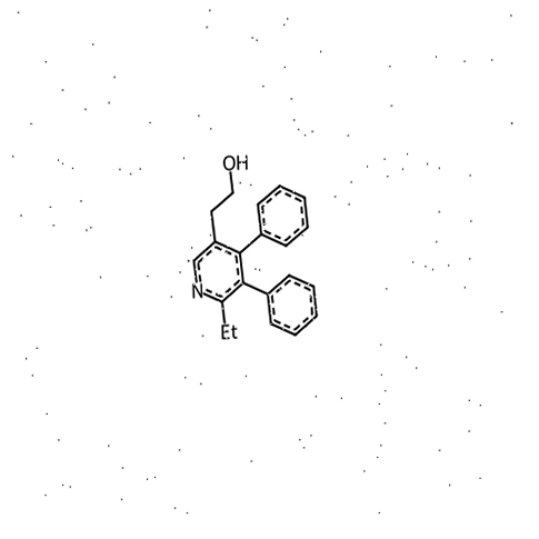 CCc1n[c]c(CCO)c(-c2ccccc2)c1-c1ccccc1